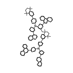 CC1(C)CCC(C)(C)c2cc(-c3ccc(N(c4cccc(-c5cccc6ccccc56)c4)c4cc(CC5(C)CCC(C)(C)c6cc(-c7ccc(N(c8ccc(-c9cc%10ccccc%10c%10ccccc9%10)cc8)c8cccc(-c9ccc%10ccccc%10c9)c8)cc7)ccc65)cc(-c5cc6ccccc6c6ccccc56)c4)cc3)ccc21